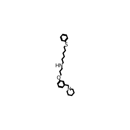 c1ccc(SCCCCCCNCCCOc2cccc(CN3CCCCC3)c2)cc1